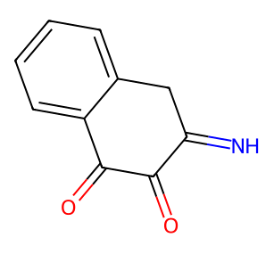 N=C1Cc2ccccc2C(=O)C1=O